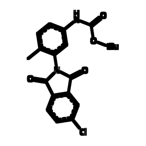 Cc1ccc(NC(=O)OC(C)(C)C)cc1N1C(=O)c2ccc(Cl)cc2C1=O